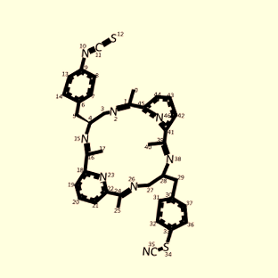 C/C1=N\C[C@H](Cc2ccc(N=C=S)cc2)/N=C(\C)c2cccc(n2)/C(C)=N/CC(Cc2ccc(SC#N)cc2)/N=C(\C)c2cccc1n2